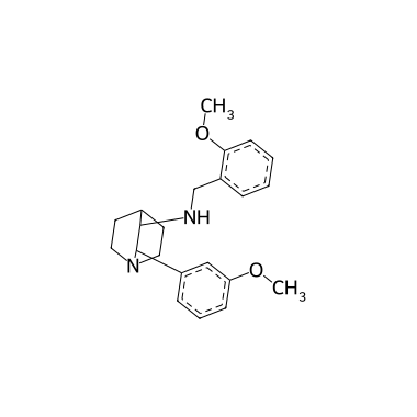 COc1cccc(C2C(NCc3ccccc3OC)C3CCN2CC3)c1